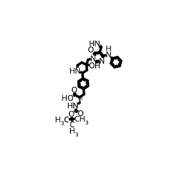 CC(C)(C)OC(=O)NC[C@H](Cc1ccc(C2CC(O)(Cn3cnc(Nc4ccccc4)c(C=N)c3=O)CCN2)cc1)C(=O)O